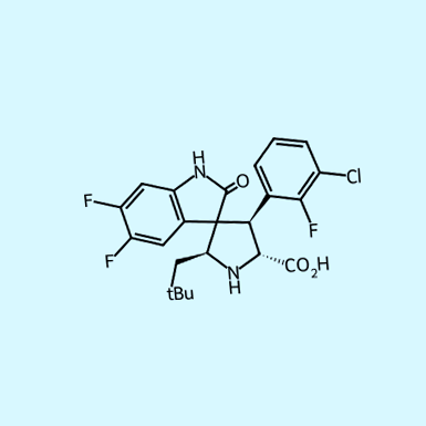 CC(C)(C)C[C@@H]1N[C@@H](C(=O)O)[C@H](c2cccc(Cl)c2F)C12C(=O)Nc1cc(F)c(F)cc12